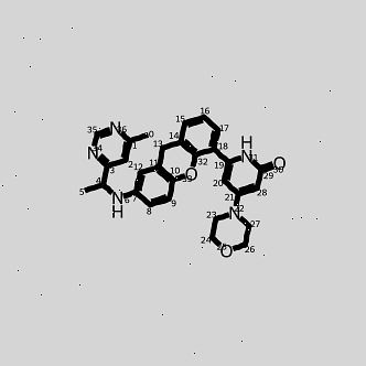 Cc1cc(C(C)Nc2ccc3c(c2)Cc2cccc(-c4cc(N5CCOCC5)cc(=O)[nH]4)c2O3)ncn1